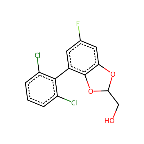 OCC1Oc2cc(F)cc(-c3c(Cl)cccc3Cl)c2O1